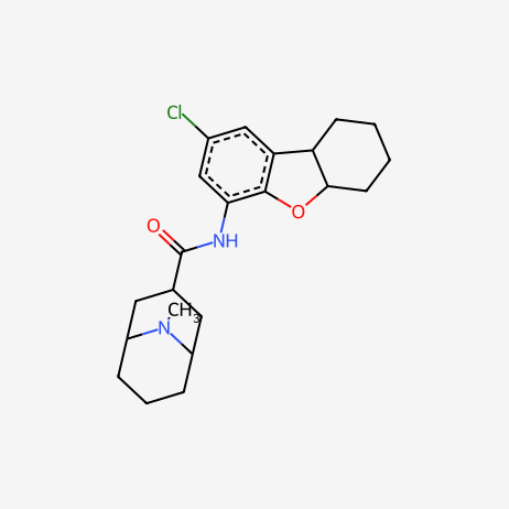 CN1C2CCCC1CC(C(=O)Nc1cc(Cl)cc3c1OC1CCCCC31)C2